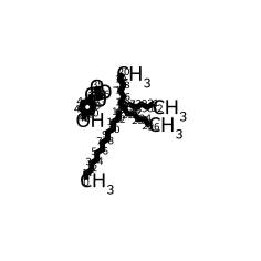 CCCCCCCCCCCCCC[P+](CCCCCC)(CCCCCC)CCCCCC.O=S(=O)([O-])Oc1ccc(O)cc1